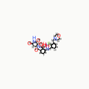 BC1(N2C(=O)c3cccc(NCc4cccc(CN5CCOCC5)c4F)c3C2(O)O)CCC(=O)NC1=O